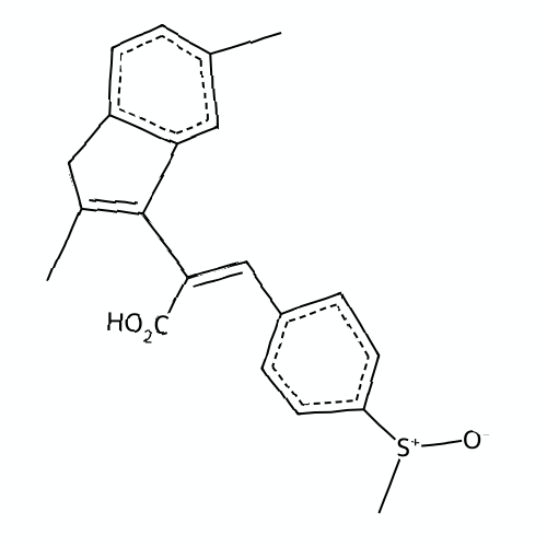 CC1=C(C(=Cc2ccc([S+](C)[O-])cc2)C(=O)O)c2cc(C)ccc2C1